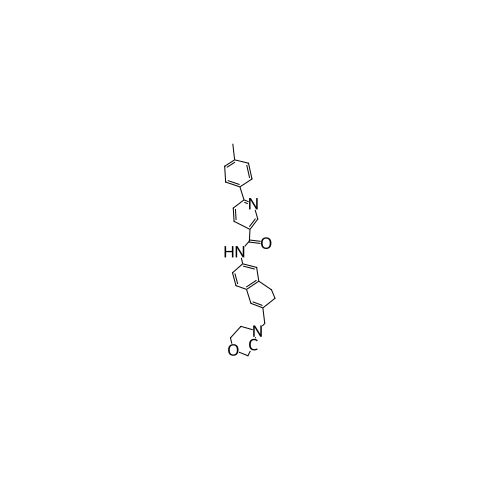 Cc1ccc(-c2ccc(C(=O)Nc3ccc4c(c3)CCC(CN3CCOCC3)=C4)cn2)cc1